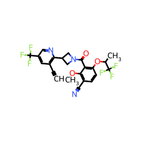 C#Cc1cc(C(F)(F)F)cnc1C1CN(C(=O)c2c(OC(C)C(F)(F)F)ccc(C#N)c2OC)C1